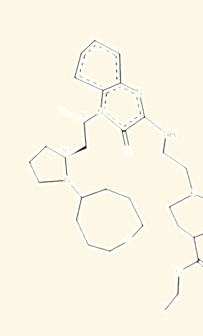 CCOC(=O)C1CCN(CCNc2nc3ccccc3n([C@@H](C)C[C@@H]3CCCN3C3CCCCCCC3)c2=O)CC1